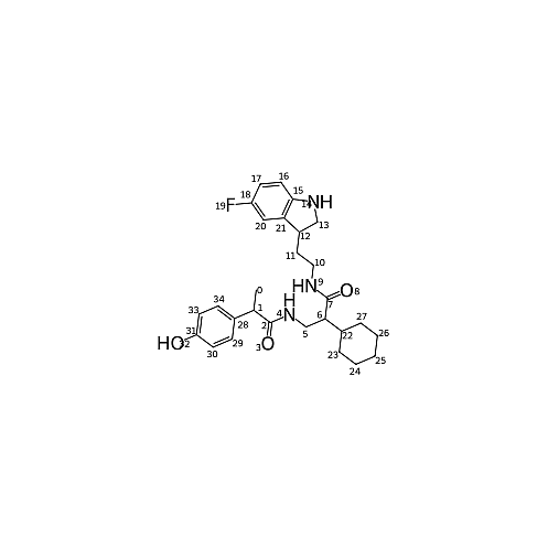 CC(C(=O)NCC(C(=O)NCCC1CNc2ccc(F)cc21)C1CCCCC1)c1ccc(O)cc1